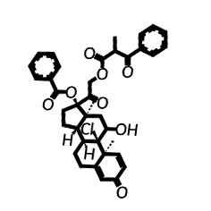 CC(C(=O)OCC(=O)[C@@]1(OC(=O)c2ccccc2)CC[C@H]2[C@@H]3CCC4=CC(=O)C=C[C@]4(C)[C@@]3(Cl)C(O)C[C@@]21C)C(=O)c1ccccc1